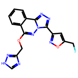 FCc1cc(-c2nnc3c4ccccc4c(OCc4nc[nH]n4)nn23)no1